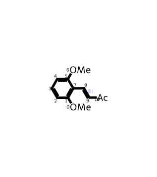 COc1cccc(OC)c1/C=C/C(C)=O